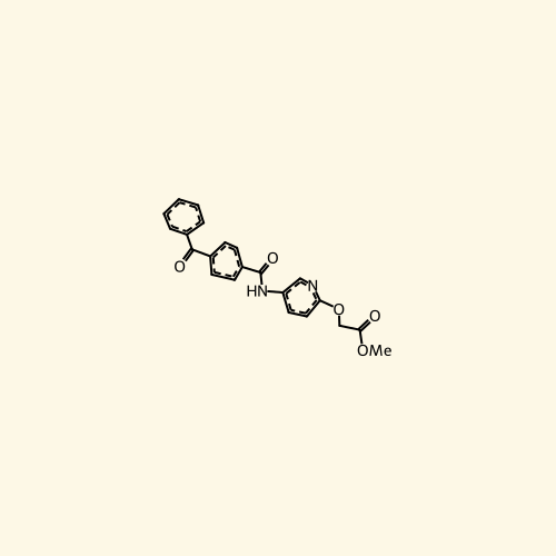 COC(=O)COc1ccc(NC(=O)c2ccc(C(=O)c3ccccc3)cc2)cn1